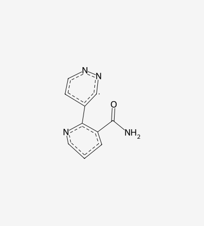 NC(=O)c1cccnc1-c1[c]nncc1